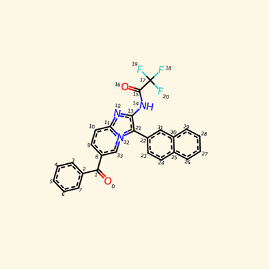 O=C(c1ccccc1)c1ccc2nc(NC(=O)C(F)(F)F)c(-c3ccc4ccccc4c3)n2c1